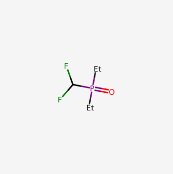 CCP(=O)(CC)C(F)F